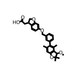 COC1c2c(cc(C)c(-c3cccc(COc4ccc5c(c4)OCC5CC(=O)O)c3)c2C)OC1(C)C